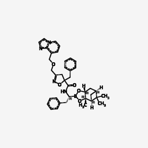 CC1(C)[C@@H]2C[C@H]3OB([C@H](Cc4ccccc4)NC(=O)C4(Cc5ccccc5)CC(COCc5cccn6ccnc56)=NO4)O[C@@]3(C)[C@H]1C2